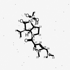 CC(C)[C@H]1C(=O)N(S(C)(=O)=O)[C@H]2CCN(C(=O)c3cc(CN(C)C)n(C)n3)[C@H]12